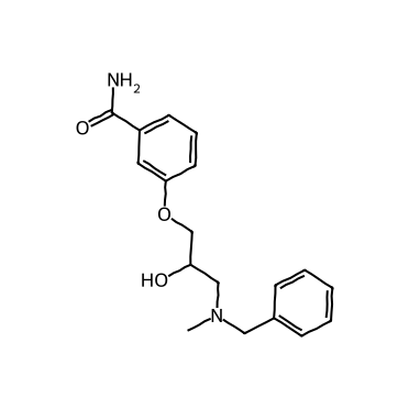 CN(Cc1ccccc1)CC(O)COc1cccc(C(N)=O)c1